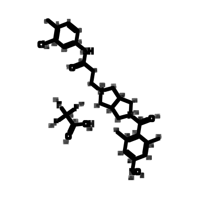 Cc1ccc(NC(=O)CCN2CC3CN(C(=O)c4c(C)cc([N+](=O)[O-])cc4C)CC3C2)cc1Cl.O=C(O)C(F)(F)F